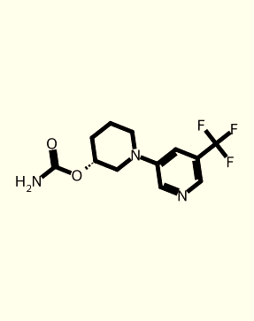 NC(=O)O[C@@H]1CCCN(c2cncc(C(F)(F)F)c2)C1